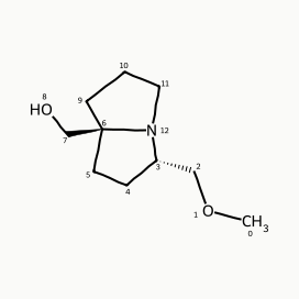 COC[C@@H]1CC[C@]2(CO)CCCN12